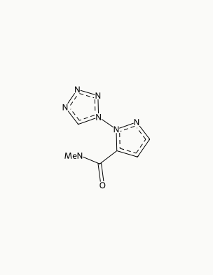 CNC(=O)c1ccnn1-n1cnnn1